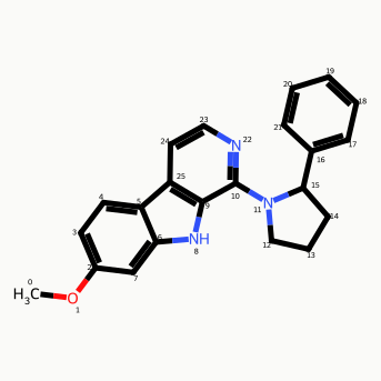 COc1ccc2c(c1)[nH]c1c(N3CCCC3c3ccccc3)nccc12